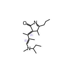 CCCC1=NC(=O)/C(=C(C)/C(C)=C/N(C)C(C)CC)C1C